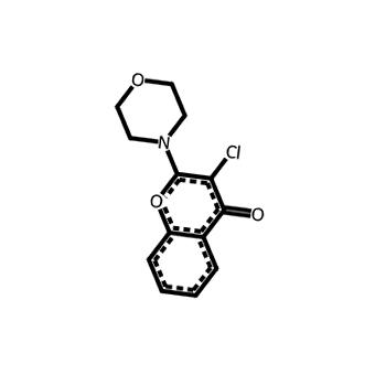 O=c1c(Cl)c(N2CCOCC2)oc2ccccc12